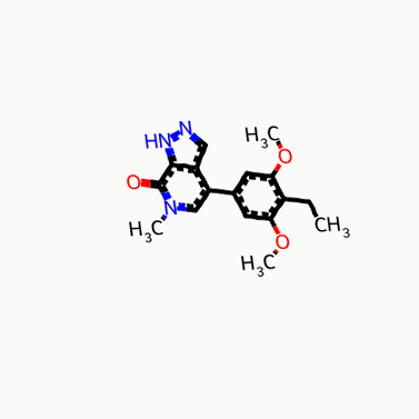 CCc1c(OC)cc(-c2cn(C)c(=O)c3[nH]ncc23)cc1OC